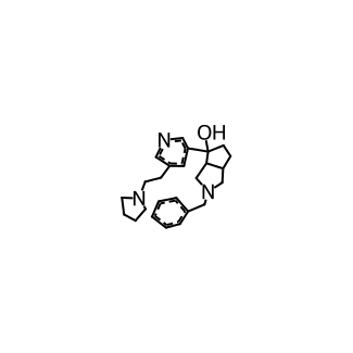 OC1(c2cncc(CCN3CCCC3)c2)CCC2CN(Cc3ccccc3)CC21